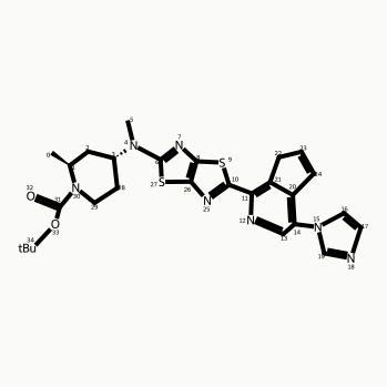 C[C@H]1C[C@H](N(C)c2nc3sc(-c4ncc(-n5ccnc5)c5c4CC=C5)nc3s2)CCN1C(=O)OC(C)(C)C